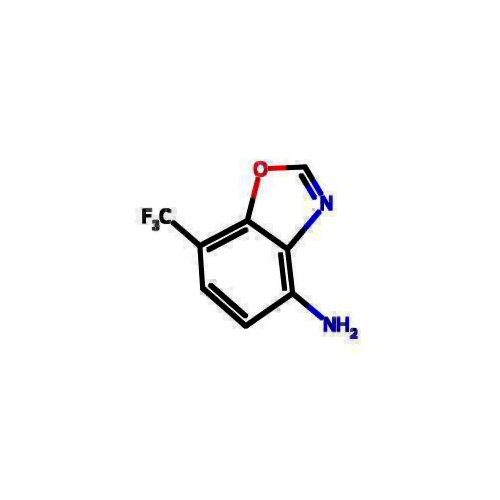 Nc1ccc(C(F)(F)F)c2ocnc12